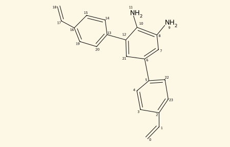 C=Cc1ccc(-c2cc(N)c(N)c(-c3ccc(C=C)cc3)c2)cc1